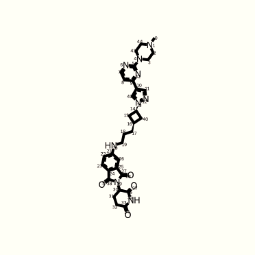 CN1CCN(c2nccc(-c3cnn([C@H]4C[C@H](CCCNc5ccc6c(c5)C(=O)N(C5CCC(=O)NC5=O)C6=O)C4)c3)n2)CC1